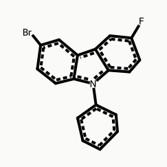 Fc1ccc2c(c1)c1cc(Br)ccc1n2-c1ccccc1